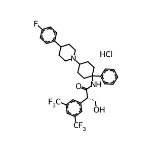 Cl.O=C(NC1(c2ccccc2)CCC(N2CCC(c3ccc(F)cc3)CC2)CC1)[C@H](CO)c1cc(C(F)(F)F)cc(C(F)(F)F)c1